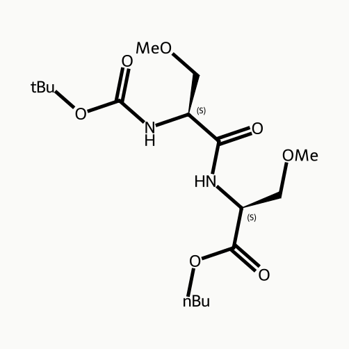 CCCCOC(=O)[C@H](COC)NC(=O)[C@H](COC)NC(=O)OC(C)(C)C